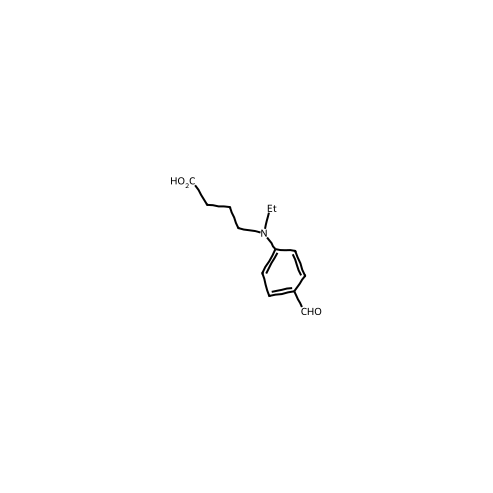 CCN(CCCC(=O)O)c1ccc(C=O)cc1